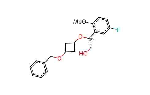 COc1ccc(F)cc1[C@H](CO)OC1CC(OCc2ccccc2)C1